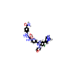 CN(C)C(=O)c1ccc(NC(=O)Nc2ccc(-c3nc(N4CCOCC4)c4cc(F)c(-c5cnn(C)c5)cc4n3)cn2)cc1